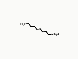 CCCCCCCCCCCCCCC[13C](=O)O